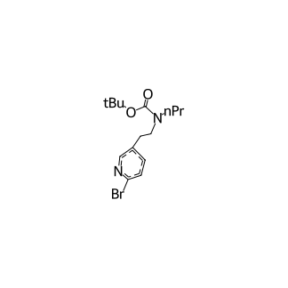 CCCN(CCc1ccc(Br)nc1)C(=O)OC(C)(C)C